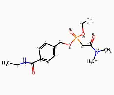 CCNC(=O)c1ccc(COP(=O)(CC(=O)N(C)C)OCC)cc1